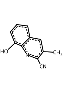 Cc1cc2cccc(O)c2nc1C#N